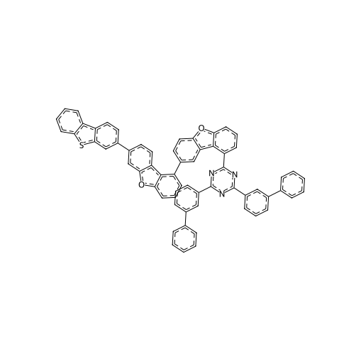 c1ccc(-c2cccc(-c3nc(-c4cccc(-c5ccccc5)c4)nc(-c4cccc5oc6ccc(-c7cccc8oc9cc(-c%10ccc%11c(c%10)sc%10ccccc%10%11)ccc9c78)cc6c45)n3)c2)cc1